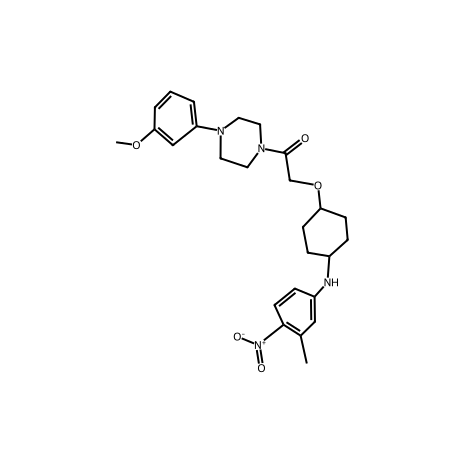 COc1cccc(N2CCN(C(=O)COC3CCC(Nc4ccc([N+](=O)[O-])c(C)c4)CC3)CC2)c1